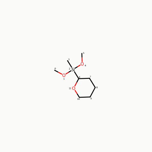 CO[Si](C)(OC)C1CCCCO1